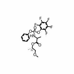 COC[C@H](C)OC(=O)C(C)NP(=O)(Oc1ccccc1)Oc1c(F)c(F)c(F)c(F)c1F